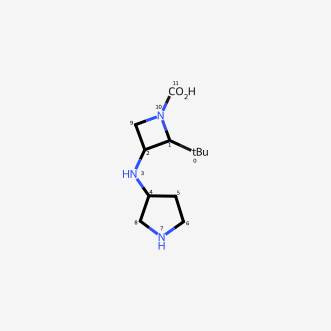 CC(C)(C)C1C(NC2CCNC2)CN1C(=O)O